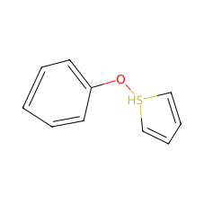 C1=C[SH](Oc2ccccc2)C=C1